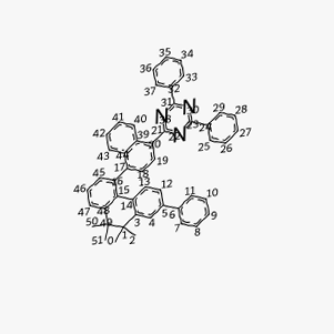 CC1(C)c2cc(-c3ccccc3)ccc2-c2c(-c3ccc(-c4nc(-c5ccccc5)nc(-c5ccccc5)n4)c4ccccc34)cccc2C1(C)C